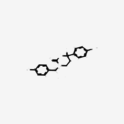 C[C@@H](c1ccc(Br)cc1)N1CCC(C)(c2ccc(F)cc2)OC1=O